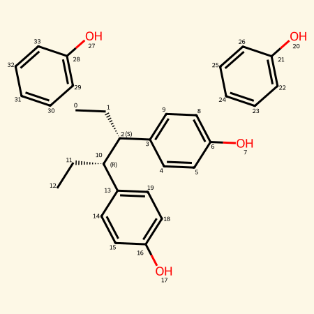 CC[C@H](c1ccc(O)cc1)[C@@H](CC)c1ccc(O)cc1.Oc1ccccc1.Oc1ccccc1